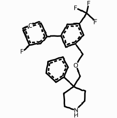 Fc1cccc(-c2cc(COCC3(c4ccccc4)CCNCC3)cc(C(F)(F)F)c2)c1